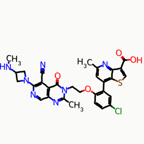 CNC1CN(c2ncc3nc(C)n(CCOc4ccc(Cl)cc4-c4cc(C)nc5c(C(=O)O)csc45)c(=O)c3c2C#N)C1